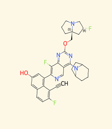 C#Cc1c(F)ccc2cc(O)cc(-c3ncc4c(N5C6CCCC5CC6)nc(OC[C@@]56CCCN5C[C@H](F)C6)nc4c3F)c12